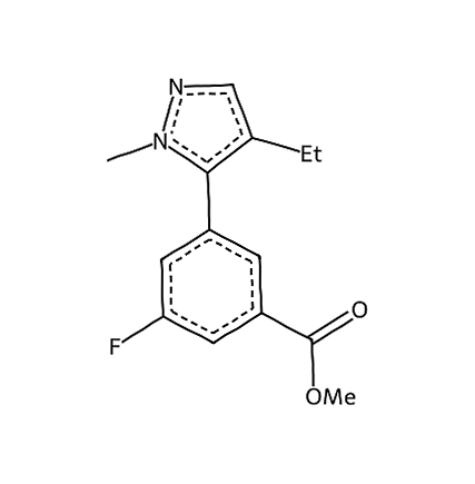 CCc1cnn(C)c1-c1cc(F)cc(C(=O)OC)c1